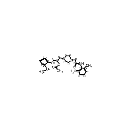 COc1ccccc1OCC(CN1CCN(CC(=O)Nc2c(C)cccc2C)CC1)OC(C)=O